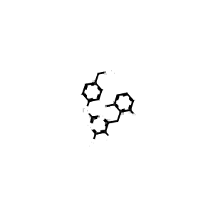 Cc1c(N)nc(Nc2ccc(CC#N)cc2)nc1Cc1c(Cl)cccc1Cl